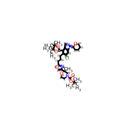 CC(C)(C)OC(=O)N1CCOC(C)(c2coc(CCCc3c(Cl)cc4c(cnn4C4CCCCO4)c3B3OC(C)(C)C(C)(C)O3)n2)C1